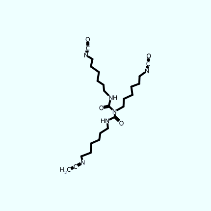 C=C=NCCCCCCNC(=O)N(CCCCCCN=C=O)C(=O)NCCCCCCN=C=O